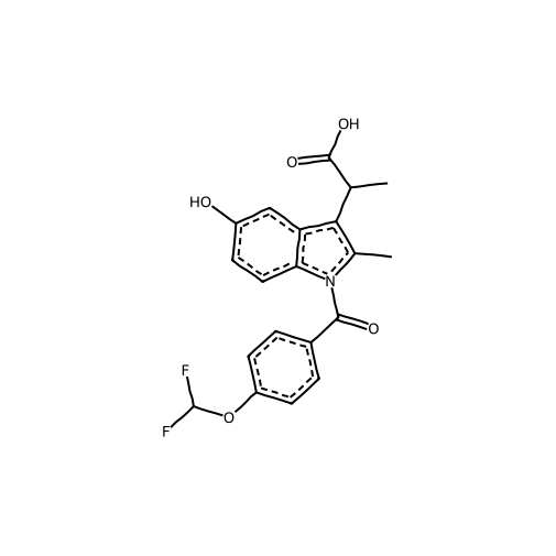 Cc1c(C(C)C(=O)O)c2cc(O)ccc2n1C(=O)c1ccc(OC(F)F)cc1